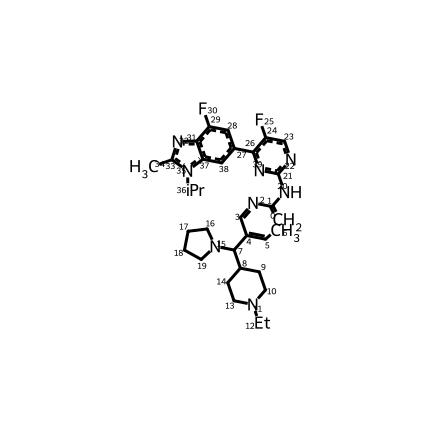 C=C(/N=C\C(=C/C)C(C1CCN(CC)CC1)N1CCCC1)Nc1ncc(F)c(-c2cc(F)c3nc(C)n(C(C)C)c3c2)n1